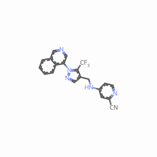 N#Cc1cc(NCc2cnn(-c3cncc4ccccc34)c2C(F)(F)F)ccn1